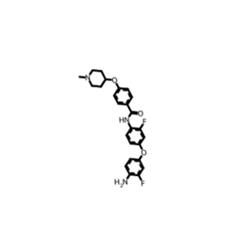 CN1CCC(Oc2ccc(C(=O)Nc3ccc(Oc4ccc(N)c(F)c4)cc3F)cc2)CC1